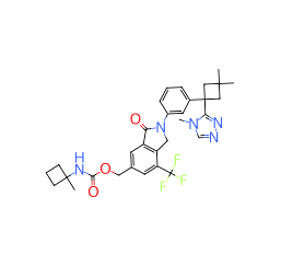 Cn1cnnc1C1(c2cccc(N3Cc4c(cc(COC(=O)NC5(C)CCC5)cc4C(F)(F)F)C3=O)c2)CC(C)(C)C1